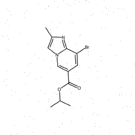 Cc1cn2cc(C(=O)OC(C)C)cc(Br)c2n1